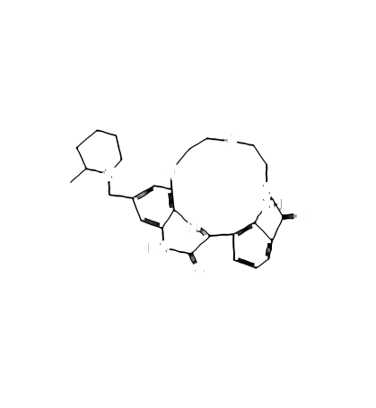 CC1CCCCN1Cc1cc2c3nc(c(=O)[nH]c3c1)-c1cccc3c(=O)n([nH]c13)CCCCCO2